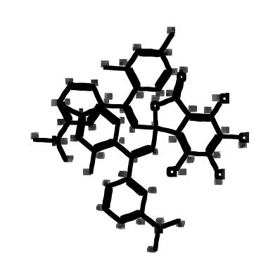 Cc1ccc(C(=CC2(C=C(c3cccc(N(C)C)c3)c3ccc(C)cc3C)OC(=O)c3c(Cl)c(Cl)c(Cl)c(Cl)c32)c2cccc(N(C)C)c2)c(C)c1